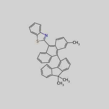 Cc1ccc2c(-c3nc4ccccc4s3)c3ccccc3c(-c3cccc4c3-c3ccccc3C4(C)C)c2c1